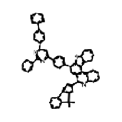 CC1(C)c2ccccc2-c2ccc(-c3nc4ccccc4c4c3cc(-c3ccc(-c5cc(-c6ccc(-c7ccccc7)cc6)nc(-c6ccccc6)n5)cc3)c3sc5ccccc5c34)cc21